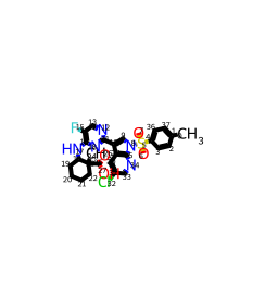 Cc1ccc(S(=O)(=O)n2cc(-c3ncc(F)c(NC4CCCCC4(C)C(=O)O)n3)c3cc(Cl)cnc32)cc1